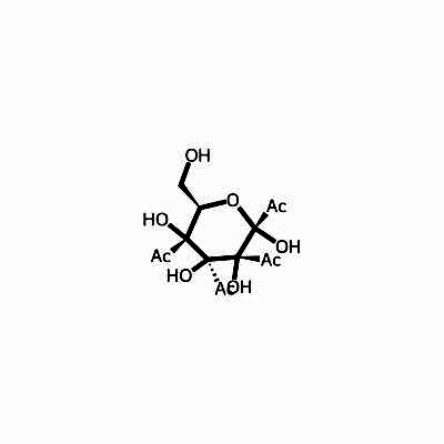 CC(=O)[C@@]1(O)[C@](O)(C(C)=O)[C@@](O)(C(C)=O)[C@@H](CO)O[C@@]1(O)C(C)=O